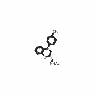 CC(=O)NC[C@H]1CN(c2ccc(C(F)(F)F)cc2)c2ccccc2O1